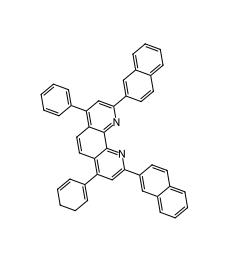 C1=CC(c2cc(-c3ccc4ccccc4c3)nc3c2ccc2c(-c4ccccc4)cc(-c4ccc5ccccc5c4)nc23)=CCC1